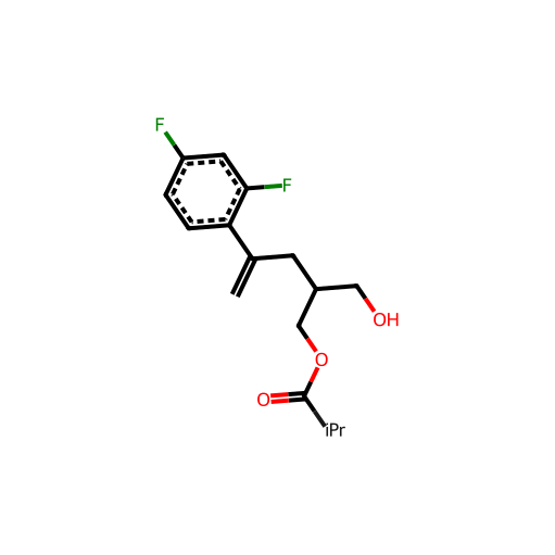 C=C(CC(CO)COC(=O)C(C)C)c1ccc(F)cc1F